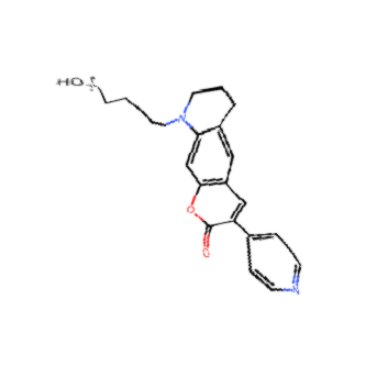 O=C(O)CCCN1CCCc2cc3cc(-c4ccncc4)c(=O)oc3cc21